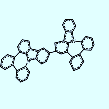 c1ccc2c(c1)-c1ccccc1-n1c3ccc(-c4cc5c6c(c4)c4ccccc4n6-c4ccccc4-c4ccccc4-5)cc3c3cccc-2c31